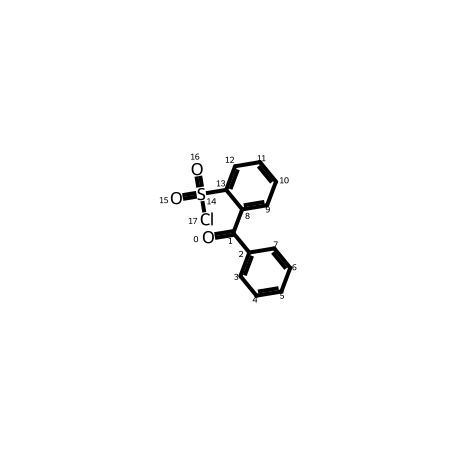 O=C(c1ccccc1)c1ccccc1S(=O)(=O)Cl